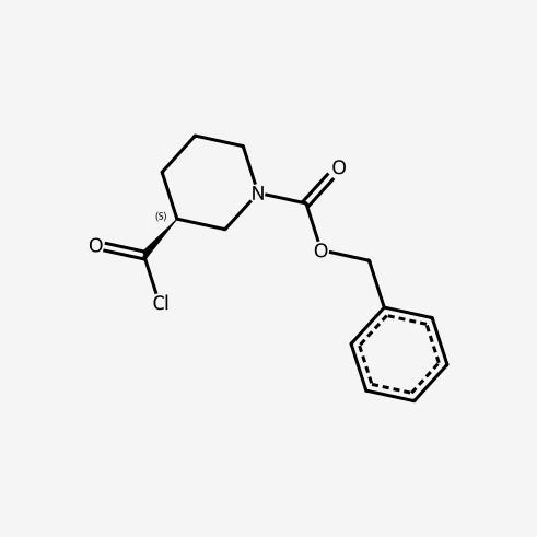 O=C(Cl)[C@H]1CCCN(C(=O)OCc2ccccc2)C1